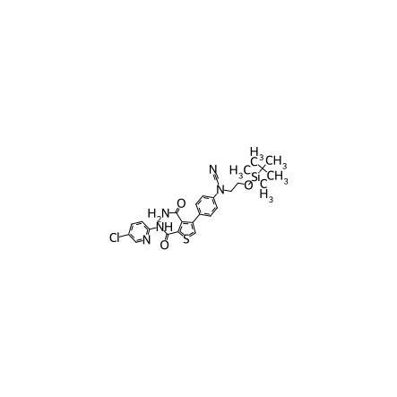 CC(C)(C)[Si](C)(C)OCCN(C#N)c1ccc(-c2csc(C(=O)Nc3ccc(Cl)cn3)c2C(N)=O)cc1